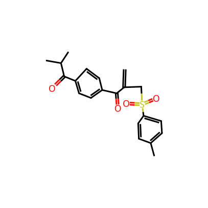 C=C(CS(=O)(=O)c1ccc(C)cc1)C(=O)c1ccc(C(=O)C(C)C)cc1